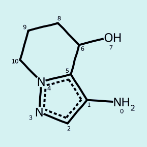 Nc1cnn2c1C(O)CCC2